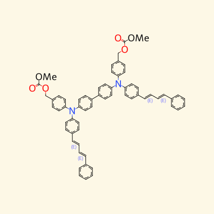 COC(=O)OCc1ccc(N(c2ccc(/C=C/C=C/c3ccccc3)cc2)c2ccc(-c3ccc(N(c4ccc(/C=C/C=C/c5ccccc5)cc4)c4ccc(COC(=O)OC)cc4)cc3)cc2)cc1